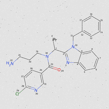 CC(C)C(c1nc2ccccc2n1Cc1ccccc1)N(CCCN)C(=O)c1ccc(Cl)nc1